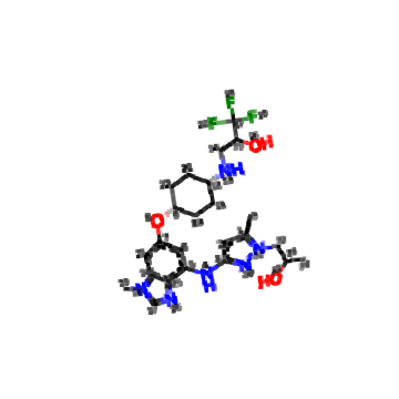 Cc1cc(Nc2cc(O[C@H]3CC[C@@H](NCC(O)C(F)(F)F)CC3)cc3c2ncn3C)nn1CC(C)O